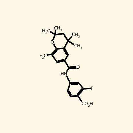 CC1(C)CC(C)(C)c2cc(C(=O)Nc3ccc(C(=O)O)c(F)c3)cc(C(F)(F)F)c2O1